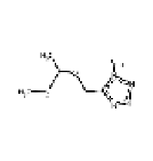 CNC(C)OCc1nnnn1C